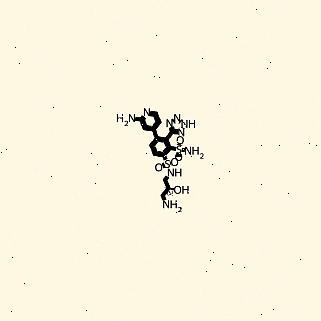 NC[C@H](O)CNS(=O)(=O)c1ccc(-c2ccnc(N)c2)c(-c2nn[nH]n2)c1S(N)(=O)=O